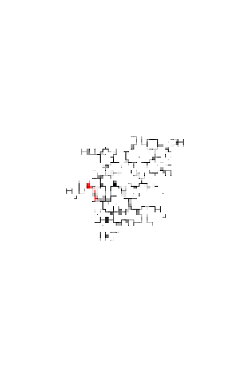 CC[C@H](C)[C@H](NC(=O)[C@H](CO)NC(=O)[C@@H](N)CCSC)C(=O)N[C@@H](CCC(N)=O)C(=O)N[C@H](C(=O)N[C@@H](CC(=O)O)C(=O)N[C@H](C(=O)N[C@@H](CCC(=O)O)C(=O)N1CCC[C@H]1C(=O)O)[C@@H](C)CC)[C@@H](C)CC